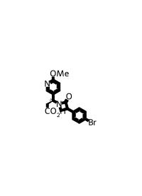 COc1ccc([C@H](CC(=O)O)N2CC(c3ccc(Br)cc3)C2=O)cn1